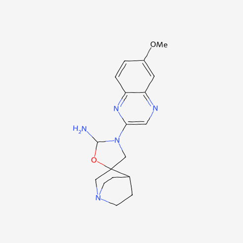 COc1ccc2nc(N3CC4(CN5CCC4CC5)OC3N)cnc2c1